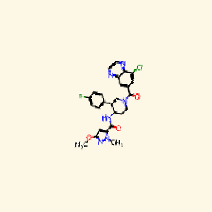 COc1cc(C(=O)N[C@@H]2CCN(C(=O)c3cc(Cl)c4nccnc4c3)C[C@@H]2c2ccc(F)cc2)n(C)n1